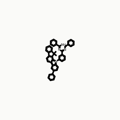 CC1(C)c2ccccc2-c2ccc3c4cc(-c5ccccc5)ccc4n(-c4cccc(C(/N=C(\N)c5ccccc5)=N/Cc5ccccc5)c4)c3c21